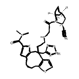 CN(C)C(=O)c1cc2c(s1)C(CCNCC(=O)N1[C@H](C#N)C[C@@H]3C[C@@H]31)(c1nn[nH]n1)c1ccsc1CC2